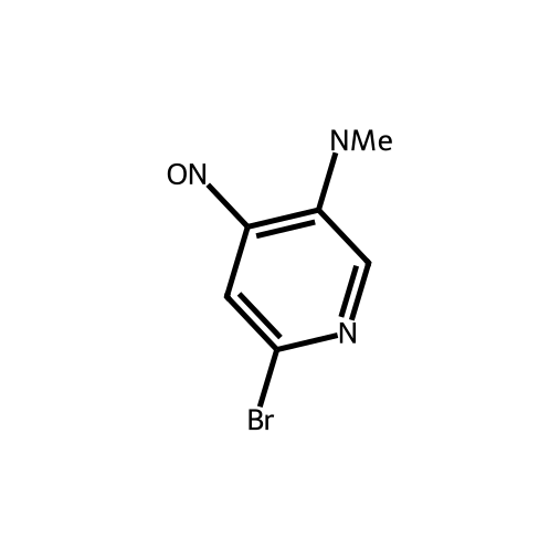 CNc1cnc(Br)cc1N=O